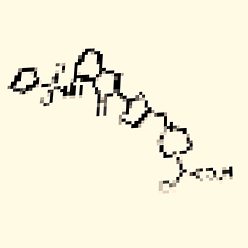 CCC(C(=O)O)N1CCN(Cc2cnc(-c3cc4cccc(NS(=O)(=O)c5cccs5)c4[nH]3)s2)CC1